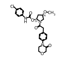 CO[C@@H]1C[C@H](OC(=O)Nc2ccc(Cl)cc2)N(C(=O)Cc2ccc(N3CCOCC3=O)cc2)C1